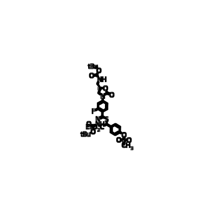 CCOC(=O)C(SC(=NNC(=O)OC(C)(C)C)c1ccc(N2C[C@@H](CNC(=O)OC(C)(C)C)OC2=O)cc1F)c1ccc(OS(C)(=O)=O)cc1